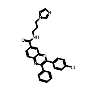 O=C(NCCCn1ccnc1)c1ccc2nc(-c3ccccc3)c(-c3ccc(Cl)cc3)nc2c1